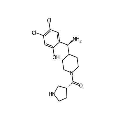 N[C@H](c1cc(Cl)c(Cl)cc1O)C1CCN(C(=O)[C@@H]2CCNC2)CC1